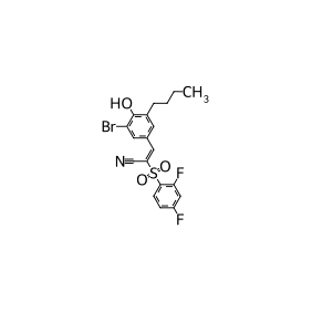 CCCCc1cc(/C=C(\C#N)S(=O)(=O)c2ccc(F)cc2F)cc(Br)c1O